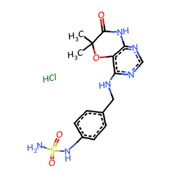 CC1(C)Oc2c(NCc3ccc(NS(N)(=O)=O)cc3)ncnc2NC1=O.Cl